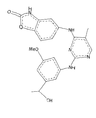 COc1cc(Nc2ncc(C)c(Nc3ccc4oc(=O)[nH]c4c3)n2)cc(C(C)O)c1